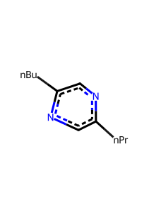 [CH2]CCc1cnc(CCCC)cn1